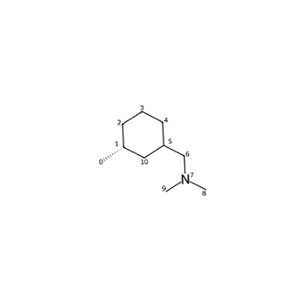 C[C@@H]1CCCC(CN(C)C)C1